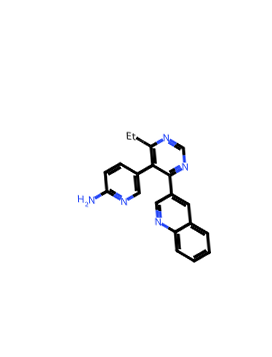 CCc1ncnc(-c2cnc3ccccc3c2)c1-c1ccc(N)nc1